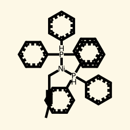 CC#C[CH2][Ni]([PH](c1ccccc1)(c1ccccc1)c1ccccc1)[PH](c1ccccc1)(c1ccccc1)c1ccccc1